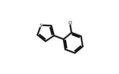 Clc1ccccc1-c1c[c]sc1